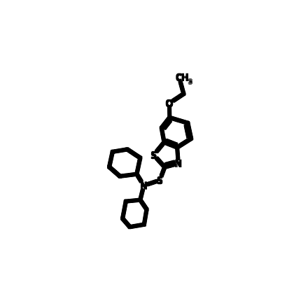 CCOc1ccc2nc(SN(C3CCCCC3)C3CCCCC3)sc2c1